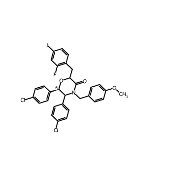 COc1ccc(CN2C(=O)C(Cc3ccc(I)cc3F)O[C@H](c3ccc(Cl)cc3)C2c2ccc(Cl)cc2)cc1